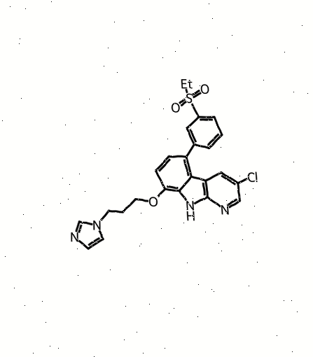 CCS(=O)(=O)c1cccc(-c2ccc(OCCCn3ccnc3)c3[nH]c4ncc(Cl)cc4c23)c1